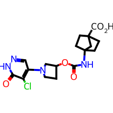 O=C(NC12CCC(C(=O)O)(CC1)C2)OC1CCN(c2cn[nH]c(=O)c2Cl)C1